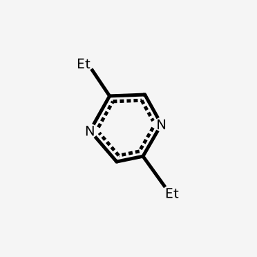 CCc1cnc(CC)cn1